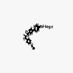 C=CCOc1ccc(C(=O)C(C)OC(=O)c2ccc(-c3ncc(CCCCCCC)cn3)cc2)cc1